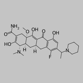 CO[C@@]12CC(C(N)=O)=C(O)[C@@H](N(C)C)[C@@H]1C[C@@H]1Cc3c(F)c(C(C)N4CCCCC4)cc(O)c3C(=O)C1=C2O